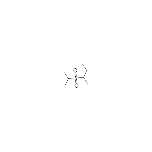 CCC(C)S(=O)(=O)C(C)C